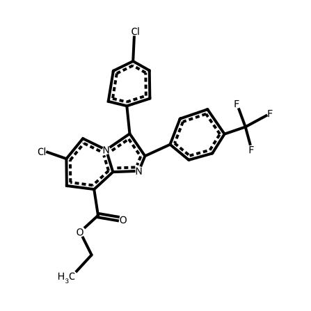 CCOC(=O)c1cc(Cl)cn2c(-c3ccc(Cl)cc3)c(-c3ccc(C(F)(F)F)cc3)nc12